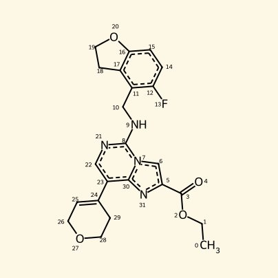 CCOC(=O)c1cn2c(NCc3c(F)ccc4c3CCO4)ncc(C3=CCOCC3)c2n1